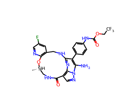 C[Si@H]1CNC(=O)c2cnn3c(N)c(-c4ccc(NC(=O)OCC(F)(F)F)cc4)c(nc23)NCc2cc(F)cnc2O1